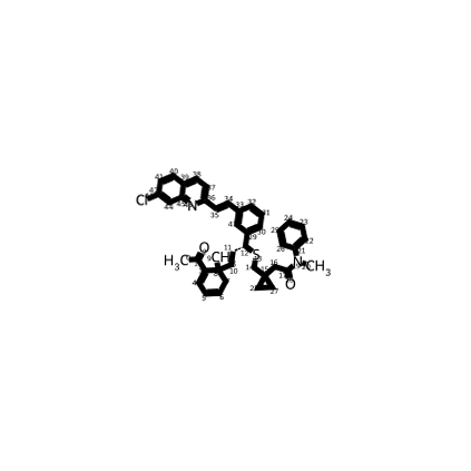 CC(=O)C1=CC=CCC1(C)CC[C@@H](SCC1(CC(=O)N(C)c2ccccc2)CC1)c1cccc(/C=C/c2ccc3ccc(Cl)cc3n2)c1